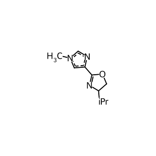 CC(C)C1COC(c2cn(C)cn2)=N1